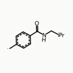 [CH2]c1ccc(C(=O)NCC(C)C)cc1